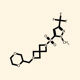 Cn1nc(C(F)(F)F)cc1S(=O)(=O)N1CC2(CN(CC3COCCO3)C2)C1